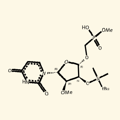 CO[C@@H]1[C@H](O[Si](C)(C)C(C)(C)C)[C@@H](OCP(=O)(O)OC)O[C@H]1n1ccc(=O)[nH]c1=O